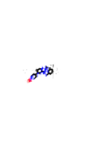 COc1cc2nc(C)nc(N[C@H](C)c3cc([N+](=O)[O-])cc(C(F)(F)F)c3)c2cc1C1=CCN(C(=O)OC(C)(C)C)CC1